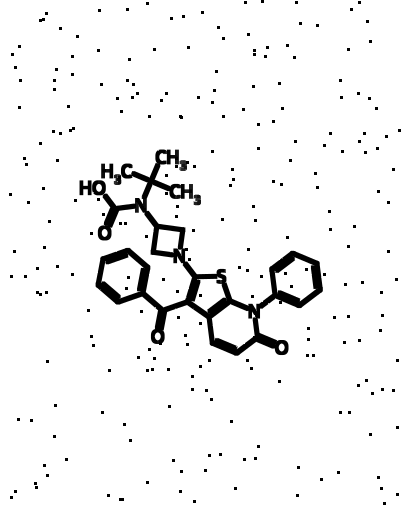 CC(C)(C)N(C(=O)O)C1CN(c2sc3c(ccc(=O)n3-c3ccccc3)c2C(=O)c2ccccc2)C1